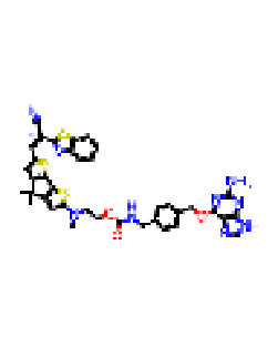 CN(CCOC(=O)NCc1ccc(COc2nc(N)nc3[nH]cnc23)cc1)c1cc2c(s1)-c1sc(/C=C(/C#N)c3nc4ccccc4s3)cc1C2(C)C